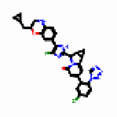 O=c1cc(-c2cc(Cl)ccc2-n2cnnn2)cc2n1C(c1nc(F)c(-c3ccc4c(c3)OC(CC3CC3)CN4)[nH]1)C1CC21